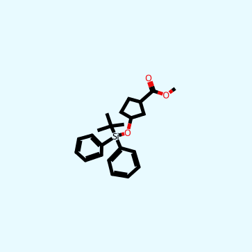 COC(=O)C1CCC(O[Si](c2ccccc2)(c2ccccc2)C(C)(C)C)C1